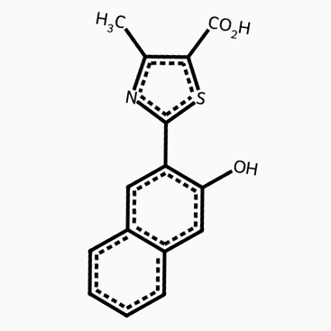 Cc1nc(-c2cc3ccccc3cc2O)sc1C(=O)O